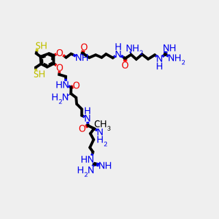 C[C@@](N)(CCCCNC(=N)N)C(=O)NCCCC[C@H](N)C(=O)NCCOc1cc(CS)c(CS)cc1OCCNC(=O)CCCCCNC(=O)[C@@H](N)CCCCNC(=N)N